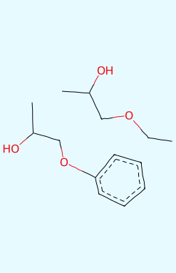 CC(O)COc1ccccc1.CCOCC(C)O